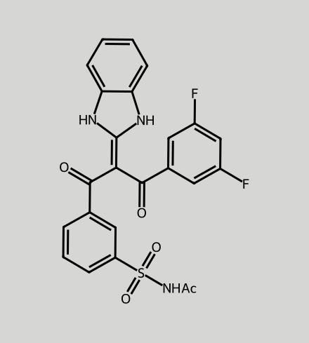 CC(=O)NS(=O)(=O)c1cccc(C(=O)C(C(=O)c2cc(F)cc(F)c2)=C2Nc3ccccc3N2)c1